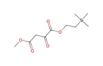 COC(=O)CC(=O)C(=O)OCC[Si](C)(C)C